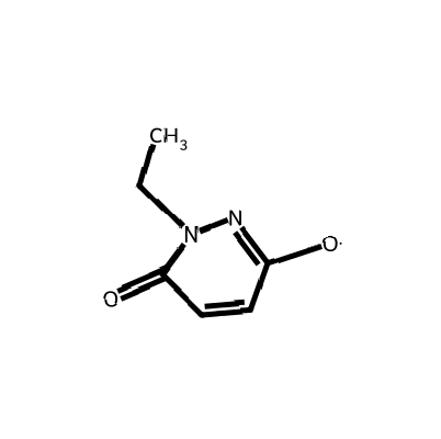 CCn1nc([O])ccc1=O